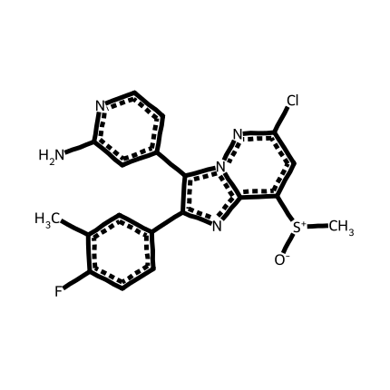 Cc1cc(-c2nc3c([S+](C)[O-])cc(Cl)nn3c2-c2ccnc(N)c2)ccc1F